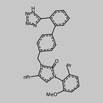 CCCc1cn(-c2c(OC)cccc2C(C)C)c(=O)n1Cc1ccc(-c2ccccc2-c2nnn[nH]2)cc1